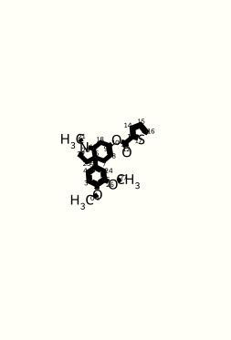 COc1ccc(C23CC=C(OC(=O)c4cccs4)CC2N(C)CC3)cc1OC